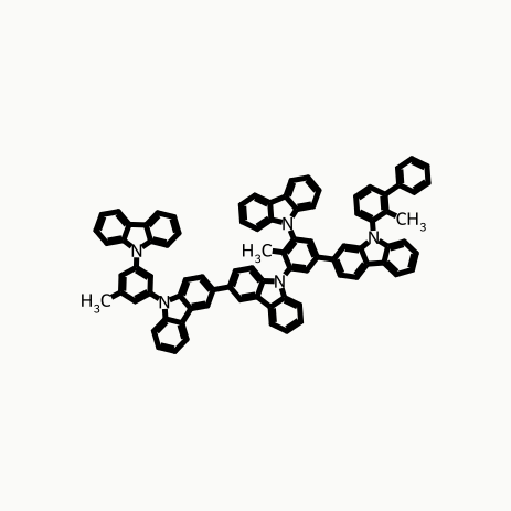 Cc1cc(-n2c3ccccc3c3ccccc32)cc(-n2c3ccccc3c3cc(-c4ccc5c(c4)c4ccccc4n5-c4cc(-c5ccc6c7ccccc7n(-c7cccc(-c8ccccc8)c7C)c6c5)cc(-n5c6ccccc6c6ccccc65)c4C)ccc32)c1